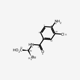 CC[C@H](C)[C@H](NC(=O)c1ccc(N)c(Cl)c1)C(=O)O